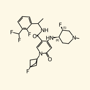 CC(NC(=O)c1cn(C23CC(F)(C2)C3)c(=O)cc1N[C@@H]1CCN(C)C[C@@H]1F)c1cccc(C(F)F)c1F